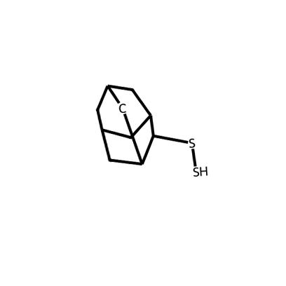 SSC1C2CC3CC(C2)CC1C3